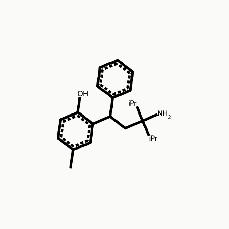 Cc1ccc(O)c(C(CC(N)(C(C)C)C(C)C)c2ccccc2)c1